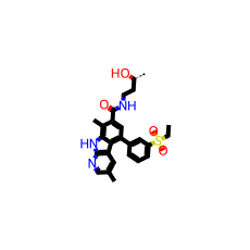 CCS(=O)(=O)c1cccc(-c2cc(C(=O)NCC[C@@H](C)O)c(C)c3[nH]c4ncc(C)cc4c23)c1